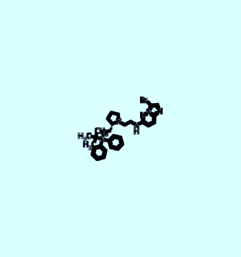 CC(C)(C)[Si](OC[C@@H]1CCCN1CCNc1ccc2ncc(Br)n2n1)(c1ccccc1)c1ccccc1